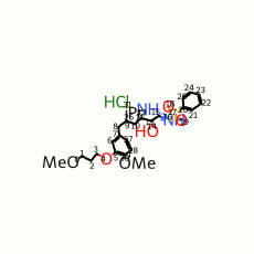 COCCCOc1cc(C[C@@H](C[C@H](N)[C@@H](O)CNS(=O)(=O)c2ccccc2)C(C)C)ccc1OC.Cl